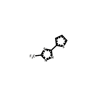 FC(F)(F)c1nnc(-c2cccs2)s1